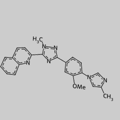 COc1cc(-c2nc(-c3ccc4ccccc4n3)n(C)n2)ccc1-n1cnc(C)c1